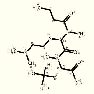 CCCC(=O)N(C)[C@H](SCCN(C)C)C(=O)N(C)[C@@H](CC(C)(C)O)C(N)=O